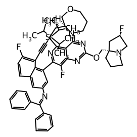 CC(C)[Si](C#Cc1c(F)ccc2cc(N=C(c3ccccc3)c3ccccc3)cc(-c3nc4c5c(nc(OC[C@@]67CCCN6C[C@H](F)C7)nc5c3F)N3CCCOC[C@@H]3CC4)c12)(C(C)C)C(C)C